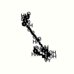 CC(C)N(C[C@H]1O[C@@H](n2cnc3c(NCCCCNC(=O)/C=C/OCCOCCOCCNc4cccc5c4C(=O)N(C4CCC(=O)NC4=O)C5=O)ncnc32)[C@H](O)[C@@H]1O)C1CC(CCc2nc3cc(C(C)(C)C)ccc3[nH]2)C1